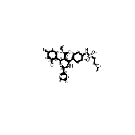 COCCS(=O)(=O)NC1CCC(C2=C(C(=O)OC)C(c3ccc(F)cc3Cl)N=C(c3nccs3)N2)CC1